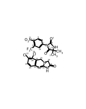 CC1(C)NC(=O)N(c2ccc([N+](=O)[O-])c(C(F)(F)F)c2)C1=O.O=C1CN2Cc3c(ccc(Cl)c3Cl)N=C2N1